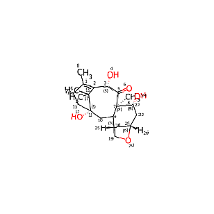 CC1=C2[C@H](O)C(=O)[C@]3(C)C(C[C@@](O)(CC1)C2(C)C)[C@H]1CO[C@H]1C[C@H]3O